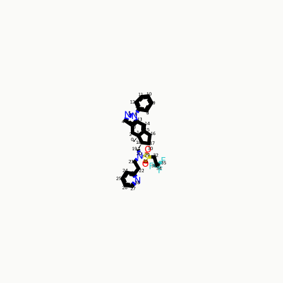 C[C@]12Cc3cnn(-c4ccccc4)c3C=C1CC[C@@H]2CN(CCc1ccccn1)S(=O)(=O)CC(F)(F)F